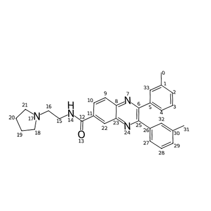 Cc1cccc(-c2nc3ccc(C(=O)NCCN4CCCC4)cc3nc2-c2cccc(C)c2)c1